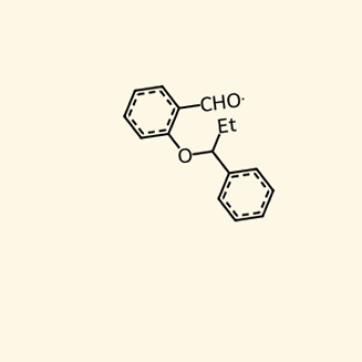 CCC(Oc1ccccc1[C]=O)c1ccccc1